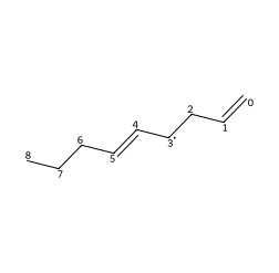 C=CC[CH]C=CCCC